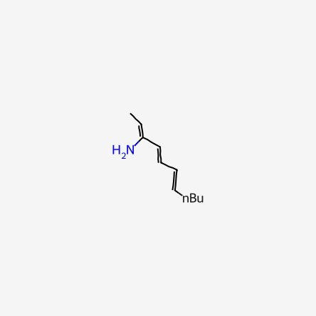 CC=C(N)C=CC=CCCCC